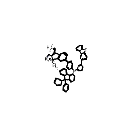 C=CC1=C(/C=C\C)C(C)(C)c2cc(-c3ccc(N(c4cccc(-c5ccc6sc7ccccc7c6c5)c4)c4cccc5c4-c4ccccc4C5(c4ccccc4)c4ccccc4)cc3)ccc21